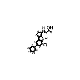 CC(O)CNC1CCc2c1[nH]c1c(Cl)cc(-c3ccccc3)cc21